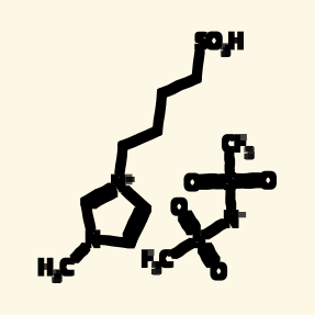 Cn1cc[n+](CCCCS(=O)(=O)O)c1.O=S(=O)([N-]S(=O)(=O)C(F)(F)F)C(F)(F)F